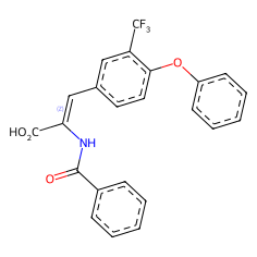 O=C(O)/C(=C/c1ccc(Oc2ccccc2)c(C(F)(F)F)c1)NC(=O)c1ccccc1